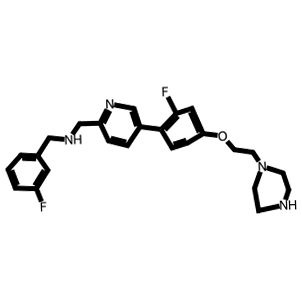 Fc1cccc(CNCc2ccc(-c3ccc(OCCN4CCNCC4)cc3F)cn2)c1